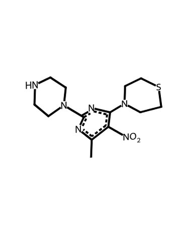 Cc1nc(N2CCNCC2)nc(N2CCSCC2)c1[N+](=O)[O-]